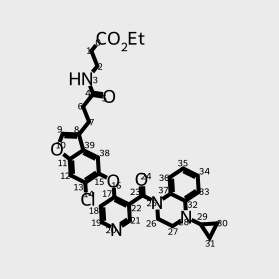 CCOC(=O)CCNC(=O)CCc1coc2cc(Cl)c(Oc3ccncc3C(=O)N3CCN(C4CC4)c4ccccc43)cc12